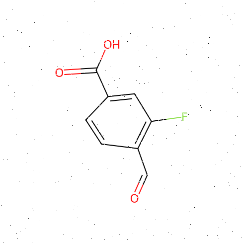 O=Cc1ccc(C(=O)O)cc1F